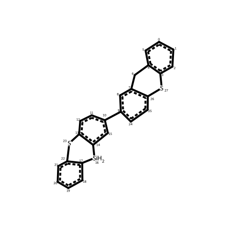 c1ccc2c(c1)Cc1cc(-c3ccc4c(c3)[SiH2]c3ccccc3S4)ccc1S2